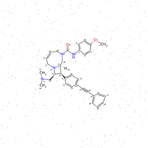 COc1ccc(NC(=O)N2C/C=C\CN3[C@H](CN(C)C)[C@H](c4ccc(C#Cc5ccccc5)cc4)[C@@H]3C2)cc1